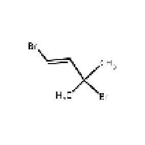 CC(C)(Br)C=CBr